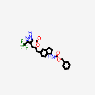 O=COC(Cc1ccc2c(c1)CCC2NC(=O)OCc1ccccc1)Cc1c[nH]nc1C(F)(F)F